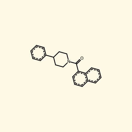 O=C(c1cccc2ccccc12)N1CCC(c2ccccc2)CC1